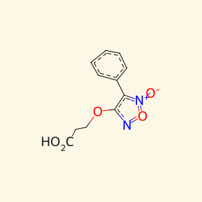 O=C(O)CCOc1no[n+]([O-])c1-c1ccccc1